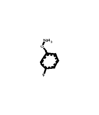 NOc1cccc(F)c1